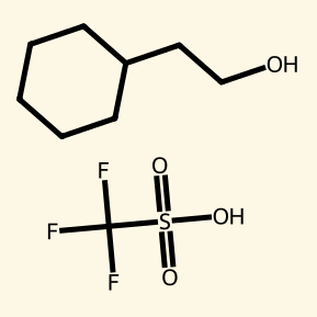 O=S(=O)(O)C(F)(F)F.OCCC1CCCCC1